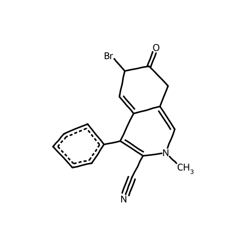 CN1C=C2CC(=O)C(Br)C=C2C(c2ccccc2)=C1C#N